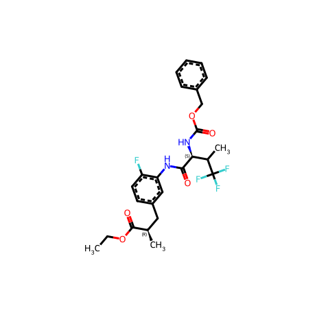 CCOC(=O)[C@H](C)Cc1ccc(F)c(NC(=O)[C@@H](NC(=O)OCc2ccccc2)C(C)C(F)(F)F)c1